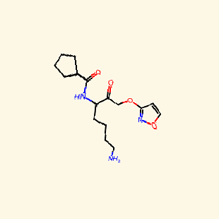 NCCCCC(NC(=O)C1CCCC1)C(=O)COc1ccon1